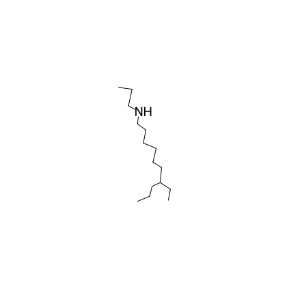 CCCNCCCCCCC(CC)CCC